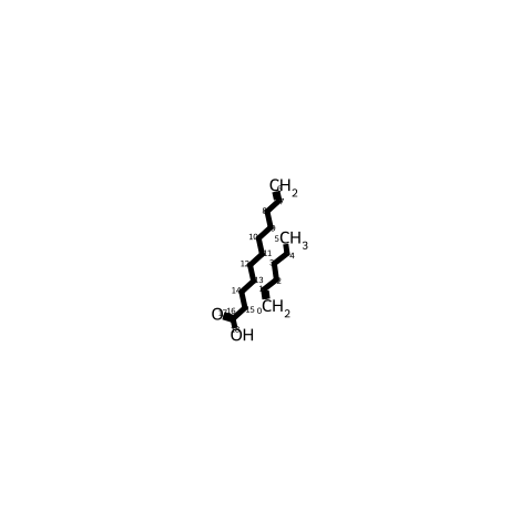 C=CCCCC.C=CCCCCCCCCC(=O)O